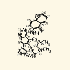 CN/C=C(\C=N)c1cc(O[C@@H](C)[C@H]2COCCN2C)c2c(Nc3ccc4ncccc4c3F)ncnc2c1